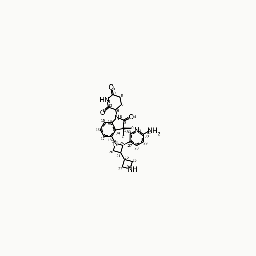 CC1(C)C(=O)N(C2CCC(=O)NC2=O)c2cccc(N3CC(C4CNC4)[C@@H]3c3ccc(N)nc3)c21